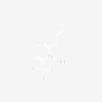 CCCCC(=O)N(N)C(=O)C(F)(F)F